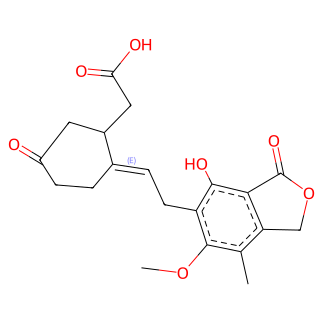 COc1c(C)c2c(c(O)c1C/C=C1\CCC(=O)CC1CC(=O)O)C(=O)OC2